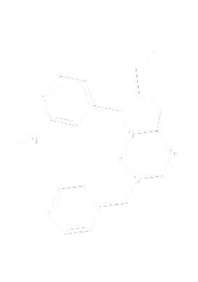 O=C(O)CC1=C(c2cccc([N+](=O)[O-])c2)N2CN(Cc3ccccc3)CN=C2S1